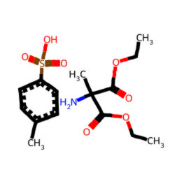 CCOC(=O)C(C)(N)C(=O)OCC.Cc1ccc(S(=O)(=O)O)cc1